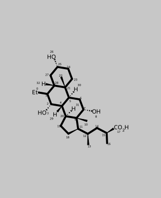 CCC1[C@@H](O)[C@@H]2[C@H](C[C@H](O)[C@]3(C)[C@@H]([C@H](C)C[C@H](C)C(=O)O)CC[C@@H]23)[C@@]2(C)CC[C@@H](O)C[C@@H]12